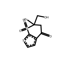 CCCC1(CO)CC(=O)c2ccsc2S1(=O)=O